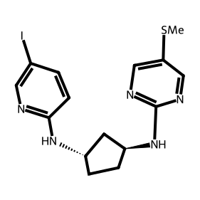 CSc1cnc(N[C@H]2CC[C@H](Nc3ccc(I)cn3)C2)nc1